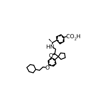 C[C@H](NCC(=O)C1(c2ccc(OCCC3CCCCC3)cc2)CCCC1)c1ccc(C(=O)O)cc1